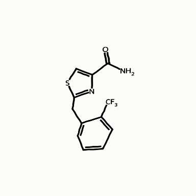 NC(=O)c1csc(Cc2ccccc2C(F)(F)F)n1